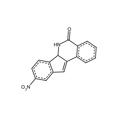 O=C1NC2C(=Cc3cc([N+](=O)[O-])ccc32)c2ccccc21